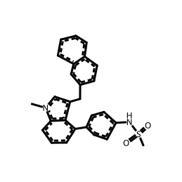 Cn1cc(Cc2ccc3ccccc3c2)c2c(-c3ccc(NS(C)(=O)=O)cc3)cccc21